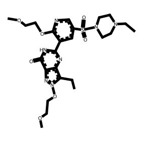 CCc1c2nc(-c3cc(S(=O)(=O)N4CCN(CC)CC4)cnc3OCCOC)[nH]c(=O)c2nn1OCCOC